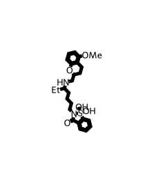 CCC(CCCCN1C(=O)c2ccccc2S1(O)O)NCC1CCc2c(OC)cccc2O1